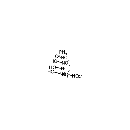 O=[N+]([O-])O.O=[N+]([O-])O.O=[N+]([O-])O.O=[N+]([O-])O.O=[N+]([O-])[O-].P.[K+]